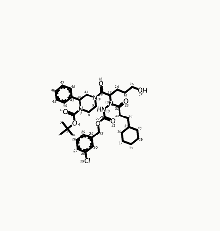 CC(C)(C)OC(=O)N1CCN(C(=O)C(CCCO)N(NC(=O)OCc2cccc(Cl)c2)C(=O)CCC2CCCCC2)CC1c1ccccc1